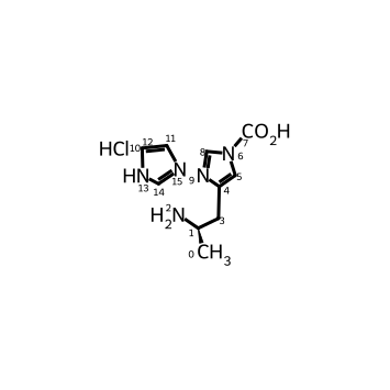 C[C@@H](N)Cc1cn(C(=O)O)cn1.Cl.c1c[nH]cn1